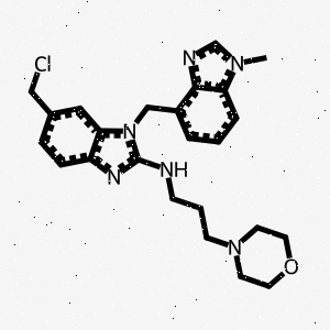 Cn1cnc2c(Cn3c(NCCCN4CCOCC4)nc4ccc(CCl)cc43)cccc21